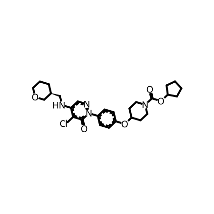 O=C(OC1CCCC1)N1CCC(Oc2ccc(-n3ncc(NC[C@@H]4CCCOC4)c(Cl)c3=O)cc2)CC1